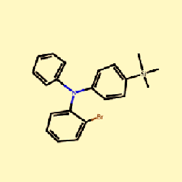 C[Si](C)(C)c1ccc(N(c2ccccc2)c2ccccc2Br)cc1